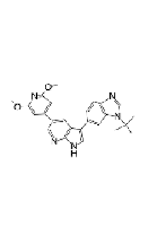 COc1cc(-c2cnc3[nH]cc(-c4ccc5ncn(C(C)(C)C)c5c4)c3c2)cc(OC)n1